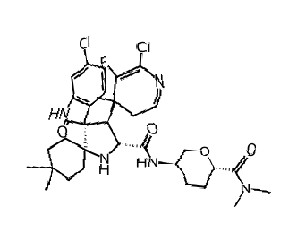 CN(C)C(=O)[C@@H]1CC[C@@H](NC(=O)[C@@H]2NC3(CCC(C)(C)CC3)[C@@]3(C(=O)Nc4cc(Cl)ccc43)[C@H]2C2(C)CC=NC(Cl)=C2F)CO1